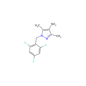 Cc1nn(Cc2c(F)cc(F)cc2F)c(C)c1[N+](=O)[O-]